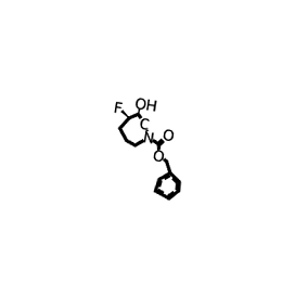 O=C(OCc1ccccc1)N1CCC[C@@H](F)[C@H](O)C1